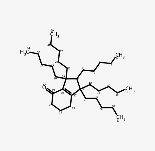 CCCCCC1C(CCCCC)(CCCCC)C2=C(C(=O)CCC2)C1(CCCCC)CCCCC